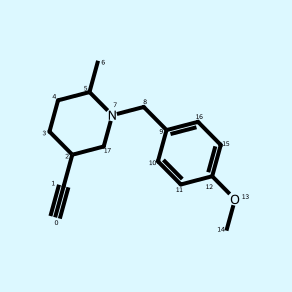 C#CC1CCC(C)N(Cc2ccc(OC)cc2)C1